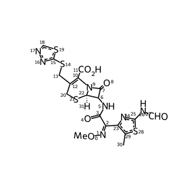 CO/N=C(\C(=O)NC1C(=O)N2C(C(=O)O)=C(CSc3nncs3)CS[C@H]12)c1nc(NC=O)sc1C